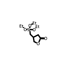 CCO[Si](CC1COC(=O)C1)(OCC)OCC